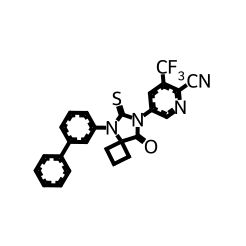 N#Cc1ncc(N2C(=O)C3(CCC3)N(c3cccc(-c4ccccc4)c3)C2=S)cc1C(F)(F)F